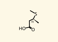 CS[C@@H](C)CC(=O)O